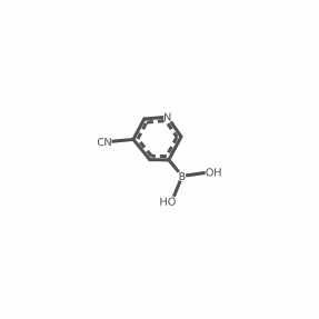 [C-]#[N+]c1cncc(B(O)O)c1